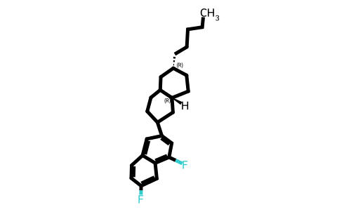 CCCCC[C@@H]1CC[C@@H]2CC(c3cc(F)c4cc(F)ccc4c3)CCC2C1